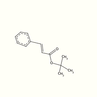 CC(C)(C)OC(=O)/C=C/c1c[c]ccc1